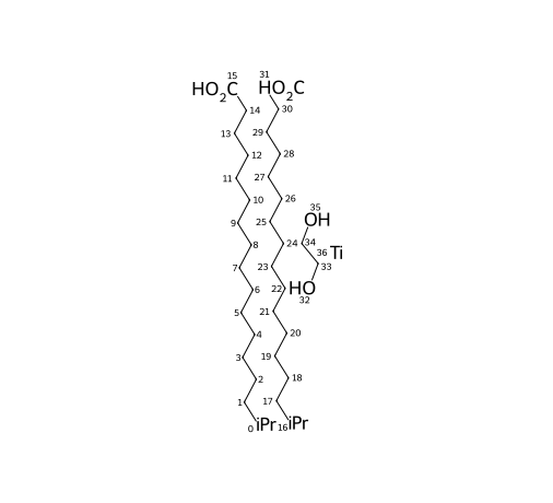 CC(C)CCCCCCCCCCCCCCC(=O)O.CC(C)CCCCCCCCCCCCCCC(=O)O.OCCO.[Ti]